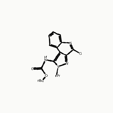 CCCCOC(=O)Nc1c2c(nn1CCC)c(Cl)nc1ccccc12